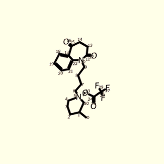 CC1CCC[N+](CCCCN2C(=O)CCC(=O)c3ccccc32)(OC(=O)C(F)(F)F)C1